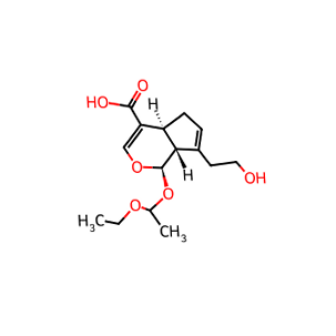 CCOC(C)O[C@H]1OC=C(C(=O)O)[C@H]2CC=C(CCO)[C@H]12